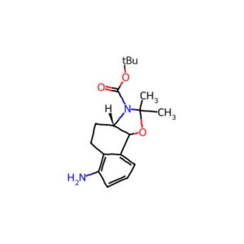 CC(C)(C)OC(=O)N1[C@H]2CCc3c(N)cccc3C2OC1(C)C